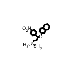 CN(C)CCC(Oc1ccc2c(c1)CCCC2)c1ccc([N+](=O)[O-])cc1